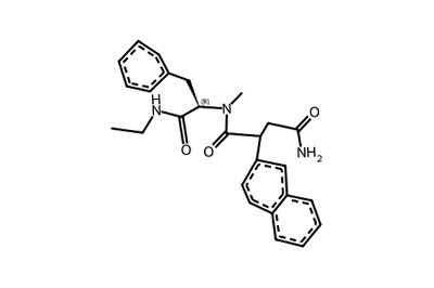 CCNC(=O)[C@@H](Cc1ccccc1)N(C)C(=O)C(CC(N)=O)c1ccc2ccccc2c1